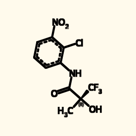 C[C@@](O)(C(=O)Nc1cccc([N+](=O)[O-])c1Cl)C(F)(F)F